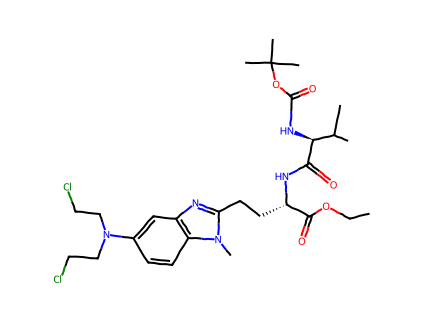 CCOC(=O)[C@H](CCc1nc2cc(N(CCCl)CCCl)ccc2n1C)NC(=O)[C@@H](NC(=O)OC(C)(C)C)C(C)C